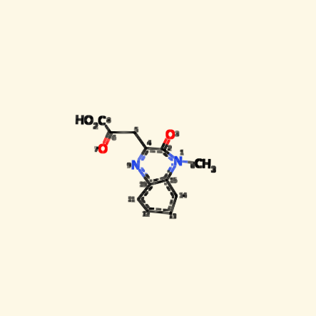 Cn1c(=O)c(CC(=O)C(=O)O)nc2ccccc21